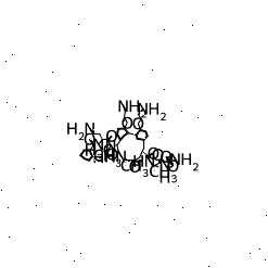 Cc1ccccc1C(=O)N[C@@H](CCN)C(=O)N(C)[C@@H]1C(=O)N[C@@H](C)C(=O)C[C@H](C(=O)N[C@@H](C)C(=O)NS(N)(=O)=O)Cc2ccc(OCCN)c(c2)-c2cc1ccc2OCCN